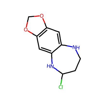 ClC1CCNc2cc3c(cc2N1)OCO3